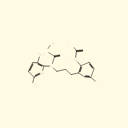 COc1ccc(N)c(N(CCCc2cc(F)ccc2NC(=O)C(F)(F)F)C(=O)OC(C)(C)C)n1